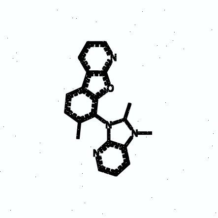 Cc1ccc2c(oc3ncccc32)c1N1c2ncccc2N(C)C1C